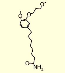 COCCCOc1cc(CCCCCCCC(N)=O)ccc1OC